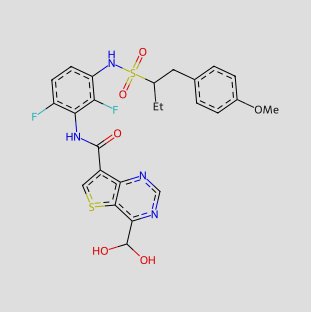 CCC(Cc1ccc(OC)cc1)S(=O)(=O)Nc1ccc(F)c(NC(=O)c2csc3c(C(O)O)ncnc23)c1F